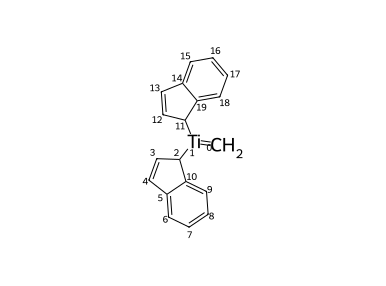 [CH2]=[Ti]([CH]1C=Cc2ccccc21)[CH]1C=Cc2ccccc21